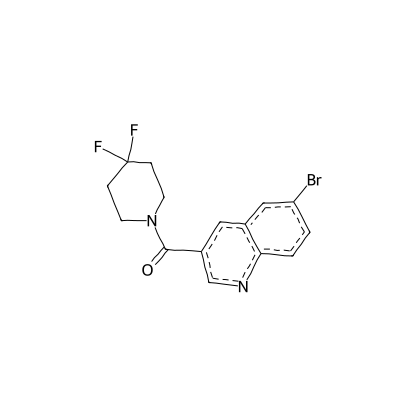 O=C(c1cnc2ccc(Br)cc2c1)N1CCC(F)(F)CC1